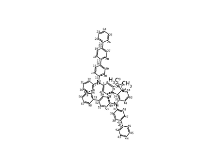 C[Si]1(C)c2cc(N(c3ccccc3)c3ccc(-c4ccc(-c5ccccc5)cc4)cc3)ccc2-c2c(N(c3ccc(-c4ccccc4)cc3)c3ccc(-c4ccccc4)cc3)cccc21